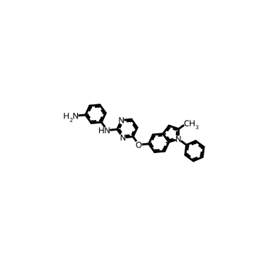 Cc1cc2cc(Oc3ccnc(Nc4cccc(N)c4)n3)ccc2n1-c1ccccc1